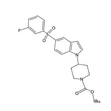 CC(C)(C)OC(=O)N1CCC(n2ccc3cc(S(=O)(=O)c4cccc(F)c4)ccc32)CC1